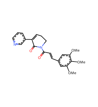 COc1cc(C=CC(=O)N2CCC=C(c3cccnc3)C2=O)cc(OC)c1OC